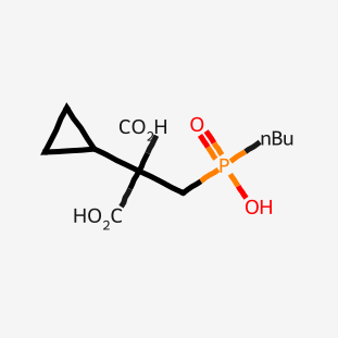 CCCCP(=O)(O)CC(C(=O)O)(C(=O)O)C1CC1